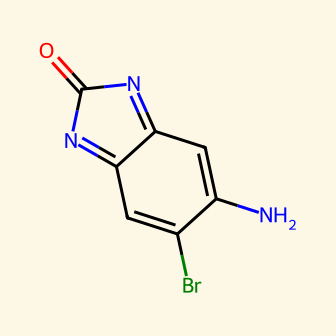 Nc1cc2c(cc1Br)=NC(=O)N=2